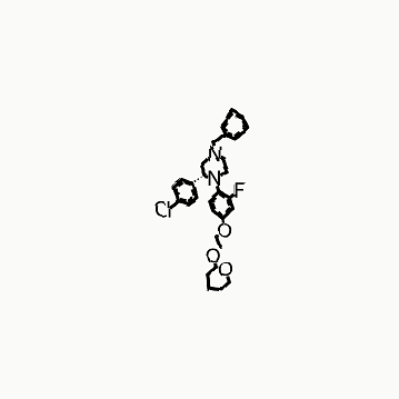 Fc1cc(OCCOC2CCCCO2)ccc1N1CCN(Cc2ccccc2)C[C@H]1c1ccc(Cl)cc1